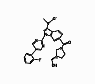 C[S+]([O-])c1cn(-c2ncc(-c3ccccc3F)cn2)c2cc(C(=O)N3CC[C@@H](CO)C3)ccc12